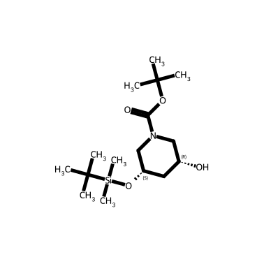 CC(C)(C)OC(=O)N1C[C@H](O)C[C@H](O[Si](C)(C)C(C)(C)C)C1